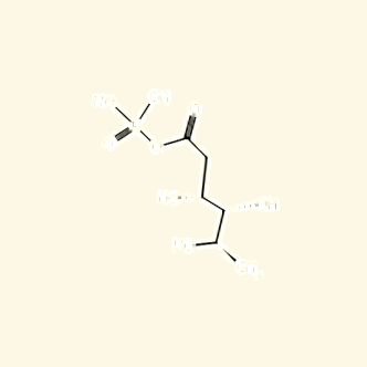 C[C@@H](O)[C@@H](O)[C@H](O)CC(=O)OP(=O)(O)O